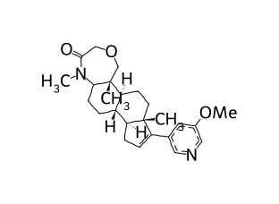 COc1cncc(C2=CC[C@H]3[C@@H]4CCC5N(C)C(=O)COC[C@]5(C)[C@H]4CC[C@]23C)c1